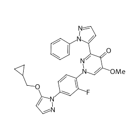 COc1cn(-c2ccc(-n3nccc3OCC3CC3)cc2F)nc(-c2ccnn2-c2ccccc2)c1=O